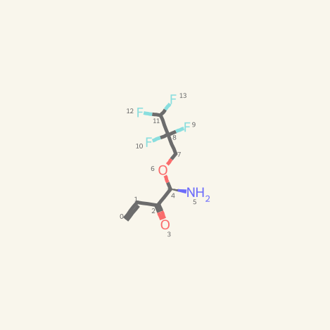 C=CC(=O)[C@H](N)OCC(F)(F)C(F)F